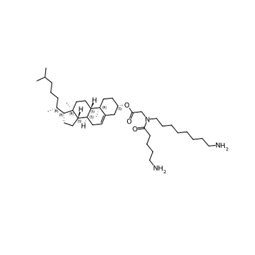 CC(C)CCC[C@@H](C)[C@H]1CC[C@H]2[C@@H]3CC=C4C[C@@H](OC(=O)CN(CCCCCCCCN)C(=O)CCCCN)CC[C@]4(C)[C@H]3CC[C@]12C